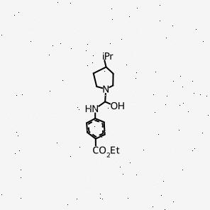 CCOC(=O)c1ccc(NC(O)N2CCC(C(C)C)CC2)cc1